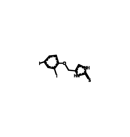 S=c1[nH]cc(COc2ccc(I)cc2I)[nH]1